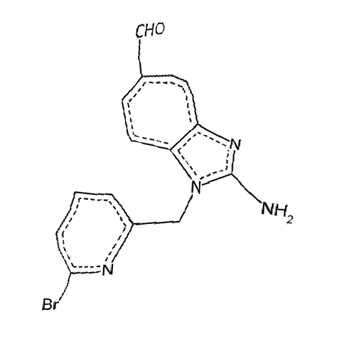 Nc1nc2cc(C=O)ccc2n1Cc1cccc(Br)n1